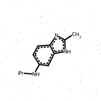 Cc1nc2ccc(NC(C)C)cc2[nH]1